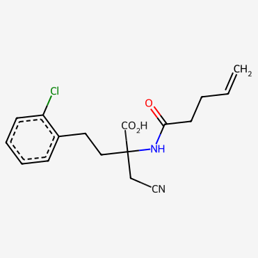 C=CCCC(=O)NC(CC#N)(CCc1ccccc1Cl)C(=O)O